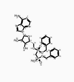 Nc1ncnc2c1ncn2[C@@H]1O[C@H](COP(=O)(CP(=O)(O)OCc2ccccc2)OCc2ccccc2)C(O)C1O